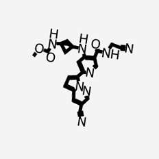 COC(=O)NC12CC(Nc3cc(-c4ccc5cc(C#N)cnn45)ncc3C(=O)NCC#N)(C1)C2